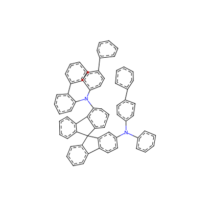 c1ccc(-c2ccc(N(c3ccccc3)c3ccc4c(c3)C3(c5ccccc5-4)c4ccccc4-c4c(N(c5ccc(-c6ccccc6)cc5)c5ccccc5-c5ccccc5)cccc43)cc2)cc1